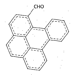 O=Cc1ccc2ccc3cccc4c5ccccc5c1c2c34